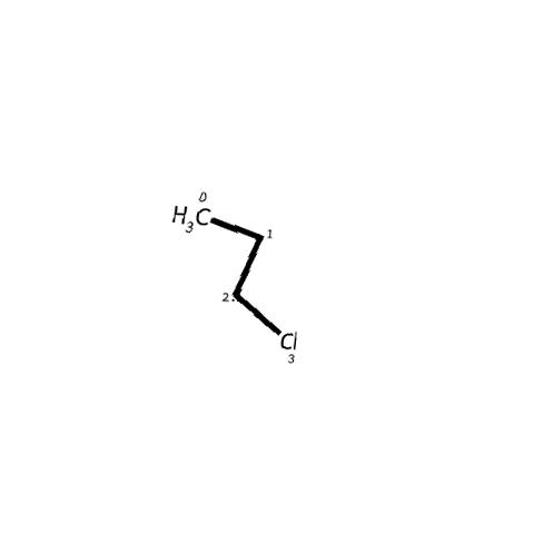 CC[C]Cl